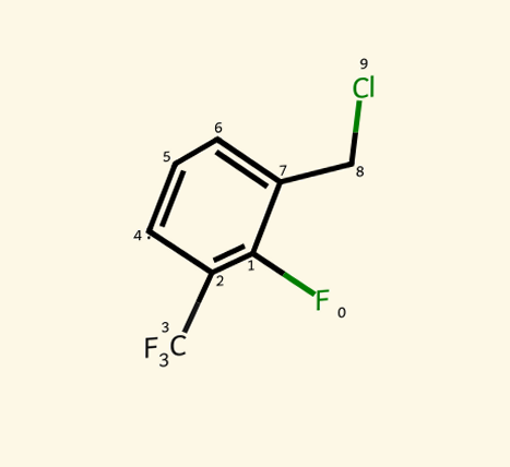 Fc1c(C(F)(F)F)[c]ccc1CCl